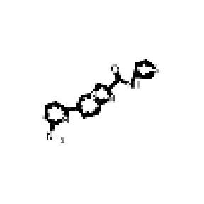 Nc1cccc(-c2ccc3nc(C(=O)Nc4ccsc4)cn3c2)n1